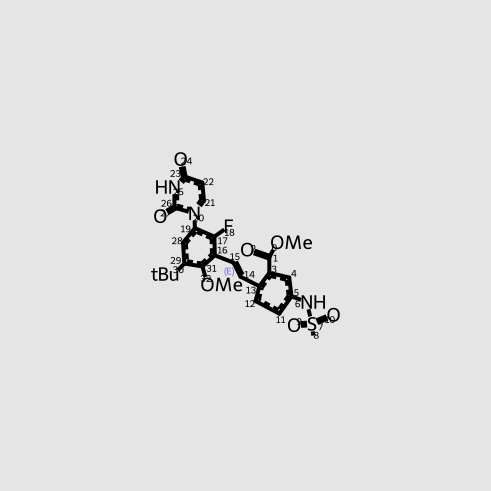 COC(=O)c1cc(NS(C)(=O)=O)ccc1/C=C/c1c(F)c(-n2ccc(=O)[nH]c2=O)cc(C(C)(C)C)c1OC